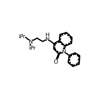 CC(C)N(CCNc1cc(=O)n(-c2ccccc2)c2ccccc12)C(C)C